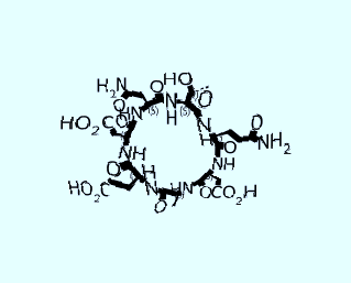 C[C@@H]1NC(=O)[C@H](CC(=O)O)NC(=O)[C@H](CCC(N)=O)NC(=O)[C@H]([C@@H](C)O)NC(=O)[C@H](CC(N)=O)NC(=O)[C@H](CC(=O)O)NC(=O)[C@H](CCC(=O)O)NC1=O